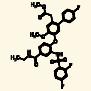 CCNC(=O)c1ccc(Oc2cc(-c3ccc(F)cc3)c(CC(=O)OC)cc2OC)c(NS(=O)(=O)c2ccc(F)cc2F)c1